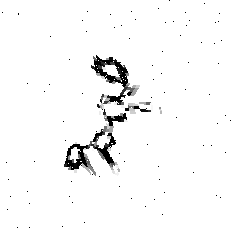 CN(CC(=O)N1CC(=O)N(c2ccccc2)C1)C(=O)Nc1ccccc1